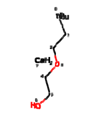 CCCCCCOCCO.[CaH2]